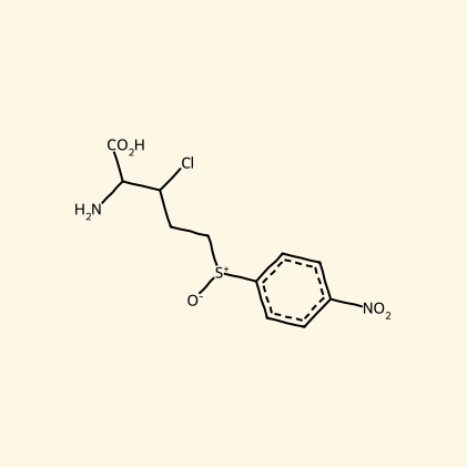 NC(C(=O)O)C(Cl)CC[S+]([O-])c1ccc([N+](=O)[O-])cc1